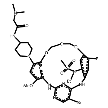 CCN(c1cc2c(F)cc1Nc1nc(ncc1Br)Nc1cc(c(N3CCC(NC(=O)CN(C)C)CC3)cc1OC)OCCCO2)S(C)(=O)=O